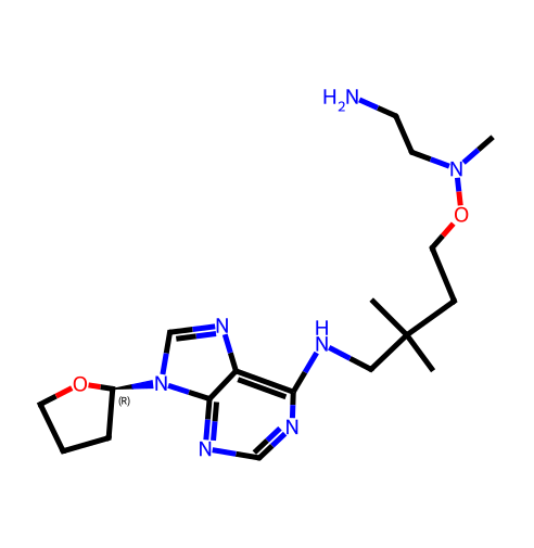 CN(CCN)OCCC(C)(C)CNc1ncnc2c1ncn2[C@H]1CCCO1